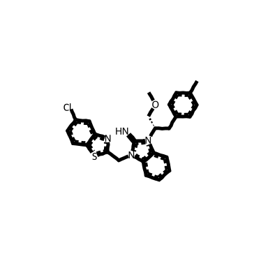 COC[C@H](Cc1ccc(C)cc1)n1c(=N)n(Cc2nc3cc(Cl)ccc3s2)c2ccccc21